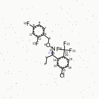 CC/C(=N\OCc1ccc(F)cc1F)c1cc(Cl)ccc1C(F)(F)F